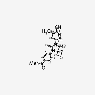 CNC(=O)c1ccc(N2C(=S)N(c3cnc(C#N)c(C)c3)C(=O)C23CCC3)cc1